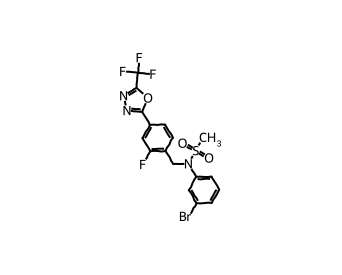 CS(=O)(=O)N(Cc1ccc(-c2nnc(C(F)(F)F)o2)cc1F)c1cccc(Br)c1